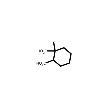 [CH2]C1(C(=O)O)CCCCC1C(=O)O